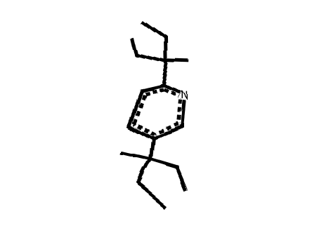 CCC(C)(CC)c1ccc(C(C)(CC)CC)nc1